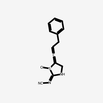 N#CN=C1NCC(=C=CCc2ccccc2)[S+]1[O-]